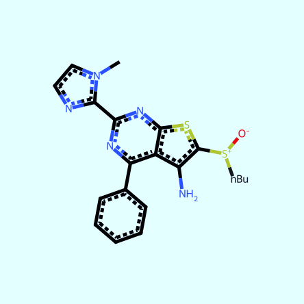 CCCC[S+]([O-])c1sc2nc(-c3nccn3C)nc(-c3ccccc3)c2c1N